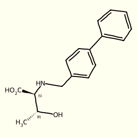 C[C@@H](O)[C@H](NCc1ccc(-c2ccccc2)cc1)C(=O)O